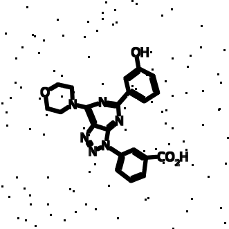 O=C(O)c1cccc(-n2nnc3c(N4CCOCC4)nc(-c4cccc(O)c4)nc32)c1